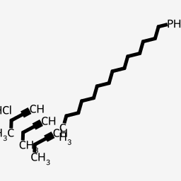 C#CCC.C#CCC.C#CCC.CCCCCCCCCCCCCCP.Cl